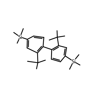 CC(C)(C)c1cc([Si](C)(C)C)ccc1-c1ccc([Si](C)(C)C)cc1C(C)(C)C